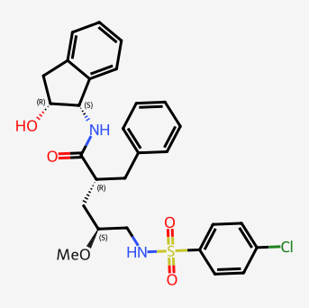 CO[C@H](CNS(=O)(=O)c1ccc(Cl)cc1)C[C@@H](Cc1ccccc1)C(=O)N[C@H]1c2ccccc2C[C@H]1O